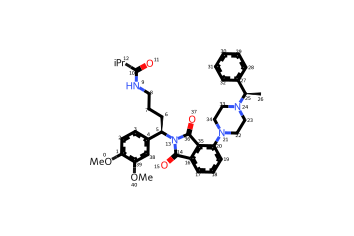 COc1ccc([C@@H](CCCNC(=O)C(C)C)N2C(=O)c3cccc(N4CCN([C@H](C)c5ccccc5)CC4)c3C2=O)cc1OC